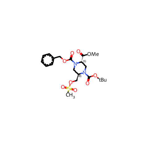 COC(=O)[C@@H]1CN(C(=O)OC(C)(C)C)[C@@H](COS(C)(=O)=O)CN1C(=O)OCc1ccccc1